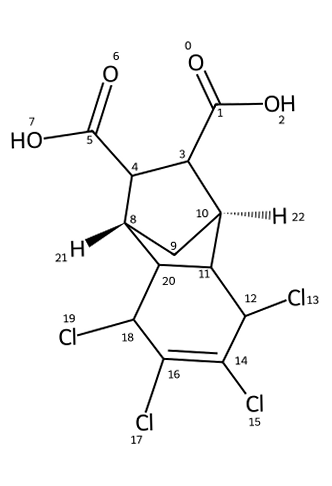 O=C(O)C1C(C(=O)O)[C@@H]2C[C@@H]1C1C(Cl)C(Cl)=C(Cl)C(Cl)C12